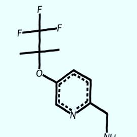 CC(C)(Oc1ccc(CN)nc1)C(F)(F)F